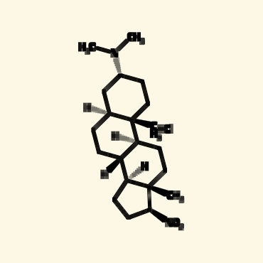 CN(C)[C@@H]1CC[C@@]2(C)[C@@H](CC[C@@H]3[C@@H]2CC[C@]2(C)[C@@H]([N+](=O)[O-])CC[C@@H]32)C1.Cl